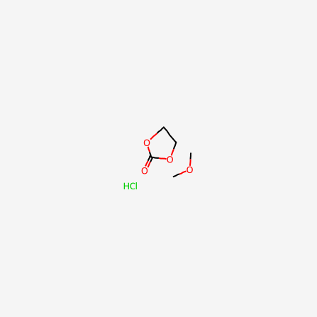 COC.Cl.O=C1OCCO1